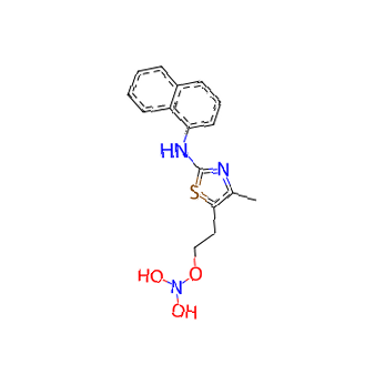 Cc1nc(Nc2cccc3ccccc23)sc1CCON(O)O